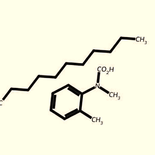 CCCCCCCCCCC.Cc1ccccc1N(C)C(=O)O